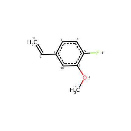 C=[C]c1ccc(F)c(OC)c1